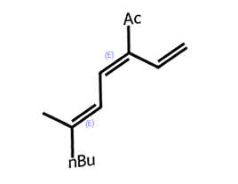 C=C/C(=C\C=C(/C)CCCC)C(C)=O